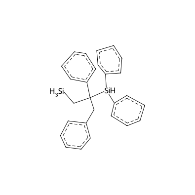 [SiH3]CC(Cc1ccccc1)(c1ccccc1)[SiH](c1ccccc1)c1ccccc1